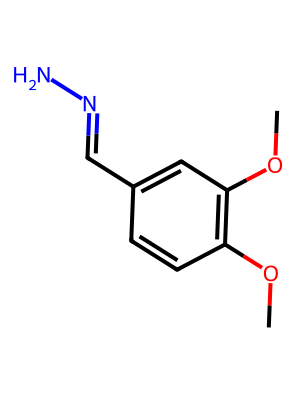 COc1ccc(C=NN)cc1OC